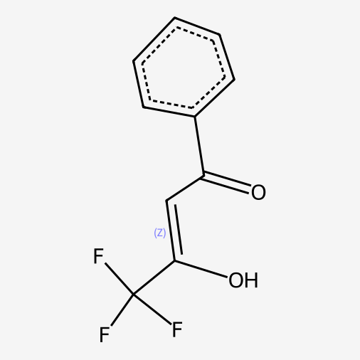 O=C(/C=C(\O)C(F)(F)F)c1ccccc1